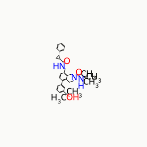 CC(C)(C)NC(=O)N1CCc2c(-c3cccc(C(C)(C)O)c3)ccc(CNC(=O)C3C[C@@H]3c3ccccc3)c2C1